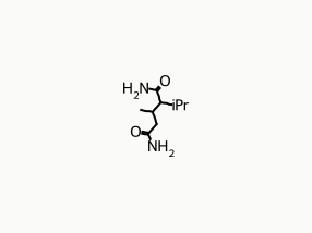 CC(C)C(C(N)=O)C(C)CC(N)=O